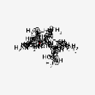 Cc1cn(C2CO[C@H](COP(=O)(S)OC3CC(n4cc(C)c(=O)[nH]c4=O)O[C@@H]3CCCCCCOP(=O)(S)OC3C[C@H](n4cc(C)c(N)nc4=O)O[C@@H]3COP(=O)(S)O[C@@H]3CC(n4cnc5c(N)ncnc54)O[C@@H]3COP(=O)(S)OC3C[C@H](n4cc(C)c(=O)[nH]c4=O)O[C@@H]3CO)[C@@H]2OP(=O)(S)OC[C@H]2O[C@@H](n3cc(C)c(=O)[nH]c3=O)CC2OP(=O)(S)OC[C@H]2O[C@@H](n3cnc4c(N)ncnc43)CC2O[PH](=O)S)c(=O)nc1N